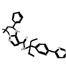 CCC(CC)(NC(=O)c1cnn2c1NC(c1ccccc1)CC2(C)C)c1ccc(-c2ccccn2)cc1